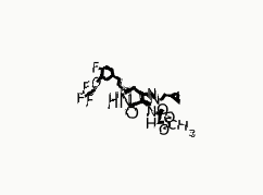 CS(=O)(=O)CC(=O)Nc1c2c(nn1CCC1CC1)C[C@H](CCc1ccc(F)c(OCC(F)(F)F)c1)NC2=O